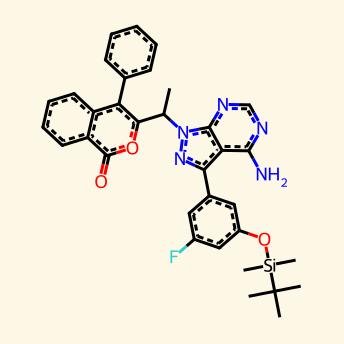 CC(c1oc(=O)c2ccccc2c1-c1ccccc1)n1nc(-c2cc(F)cc(O[Si](C)(C)C(C)(C)C)c2)c2c(N)ncnc21